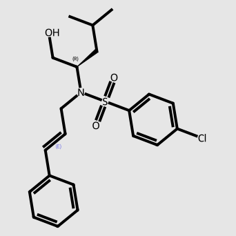 CC(C)C[C@H](CO)N(C/C=C/c1ccccc1)S(=O)(=O)c1ccc(Cl)cc1